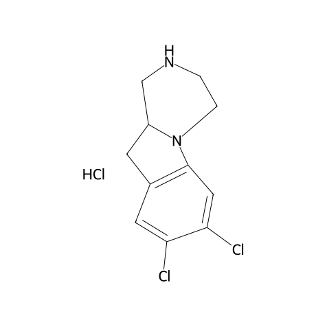 Cl.Clc1cc2c(cc1Cl)N1CCNCC1C2